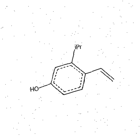 C=Cc1ccc(O)cc1C(C)C